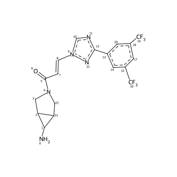 NC1C2CN(C(=O)C=Cn3cnc(-c4cc(C(F)(F)F)cc(C(F)(F)F)c4)n3)CC12